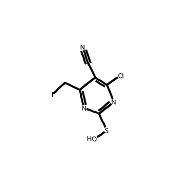 N#Cc1c(Cl)nc(SO)nc1CI